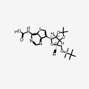 CC1(C)O[C@H]2[C@H](c3csc4c(NC(=O)O)ncnc34)O[C@](C#N)(CO[Si](C)(C)C(C)(C)C)[C@H]2O1